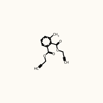 C#CCOC(=O)c1cccc(C)c1C(=O)OCC#C